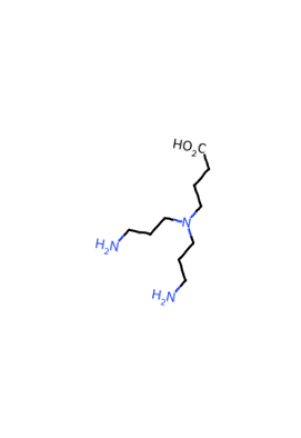 NCCCN(CCCN)CCCC(=O)O